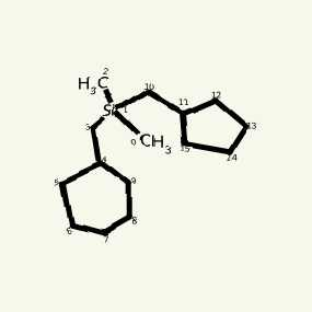 C[Si](C)(CC1CCCCC1)CC1CCCC1